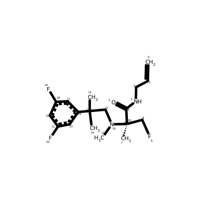 C=CCNC(=O)[C@@](C)(CF)N(C)CC(C)(C)c1cc(F)cc(F)c1